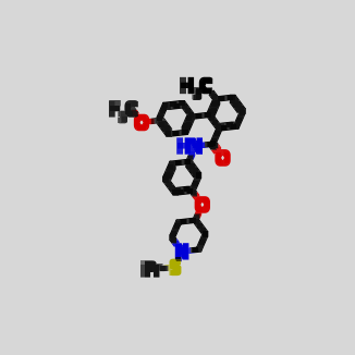 Cc1cccc(C(=O)Nc2cccc(OC3CCN(SC(C)C)CC3)c2)c1-c1ccc(OC(F)(F)F)cc1